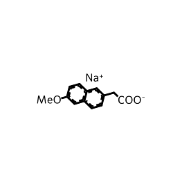 COc1ccc2cc(CC(=O)[O-])ccc2c1.[Na+]